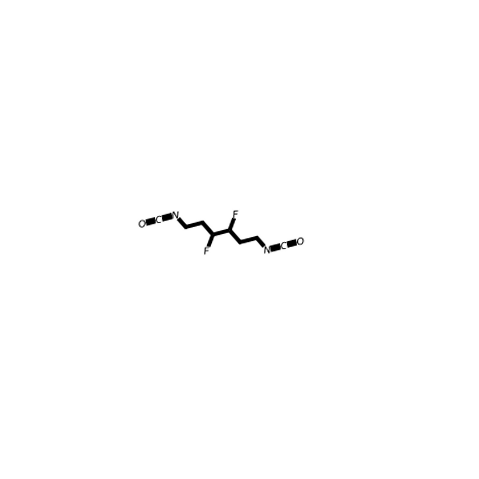 O=C=NCCC(F)C(F)CCN=C=O